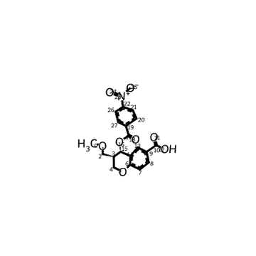 COC[C@@H]1COc2ccc(C(=O)O)cc2[C@H]1OC(=O)c1ccc([N+](=O)[O-])cc1